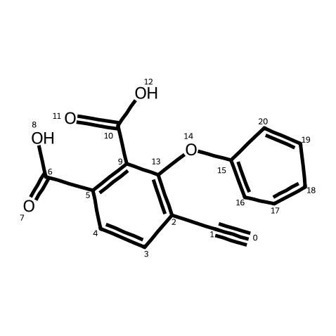 C#Cc1ccc(C(=O)O)c(C(=O)O)c1Oc1ccccc1